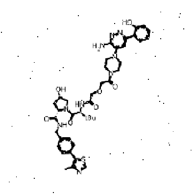 Cc1ncsc1-c1ccc(CNC(=O)[C@@H]2C[C@@H](O)CN2C(=O)[C@@H](NC(=O)COCC(=O)N2CCN(c3cc(-c4ccccc4O)nnc3N)CC2)C(C)(C)C)cc1